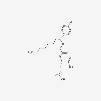 CCCCCCCC(OCC(=O)N[C@@H](CCC(=O)O)C(=O)O)c1ccc(Cl)cc1